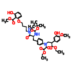 CCOC(=O)C(=O)N(CC(C(=O)OCC)c1ccc(OC)c(O)c1)c1ccc(C[C@H](NC(=O)OC(C)(C)C)C(=O)NCCCCOc2cccc(O)c2C(=O)OC)cc1